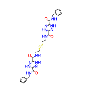 O=C(NCCSSCCNC(=O)C1=NNC(C(=O)NCc2ccccc2)=NN1)C1=NNC(C(=O)NCc2ccccc2)=NN1